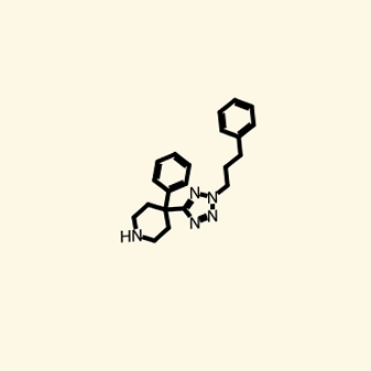 c1ccc(CCCn2nnc(C3(c4ccccc4)CCNCC3)n2)cc1